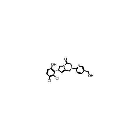 O=C1CN(c2ccc(CO)cn2)CC2=C[C@H](c3c(O)ccc(Cl)c3Cl)CN12